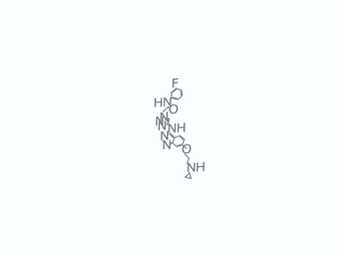 O=C(Cn1cc(Nc2ncnc3cc(OCCCNC4CC4)ccc23)nn1)Nc1cccc(F)c1